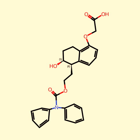 O=C(O)COc1cccc2c1CC[C@H](O)[C@@H]2CCOC(=O)N(c1ccccc1)c1ccccc1